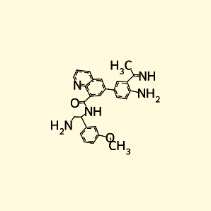 COc1cccc(C(CN)NC(=O)c2cc(-c3ccc(N)c(C(C)=N)c3)cc3cccnc23)c1